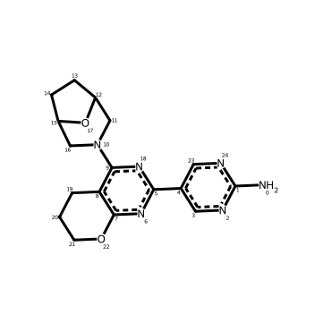 Nc1ncc(-c2nc3c(c(N4CC5CCC(C4)O5)n2)CCCO3)cn1